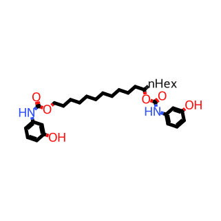 CCCCCCC(CCCCCCCCCCCOC(=O)Nc1cccc(O)c1)OC(=O)Nc1cccc(O)c1